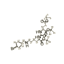 CC(C)(C)OC(=O)CCC(NC(=O)NC(CCCCNCc1ccc(Br)cc1)C(=O)OC(C)(C)C)C(=O)OC(C)(C)C